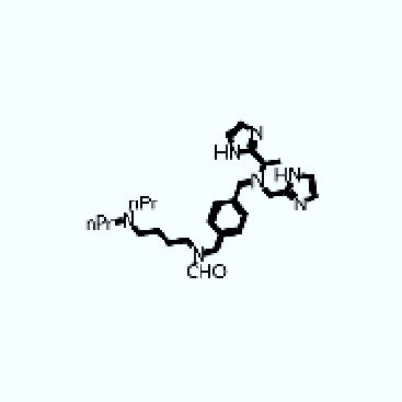 CCCN(CCC)CCCCN(C=O)Cc1ccc(CN(Cc2ncc[nH]2)C(C)c2ncc[nH]2)cc1